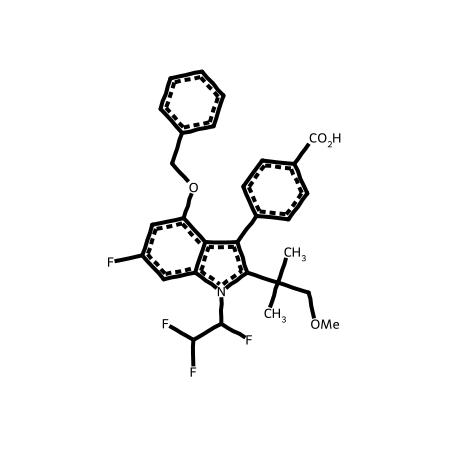 COCC(C)(C)c1c(-c2ccc(C(=O)O)cc2)c2c(OCc3ccccc3)cc(F)cc2n1C(F)C(F)F